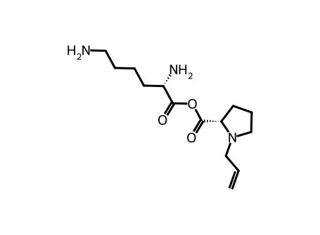 C=CCN1CCC[C@H]1C(=O)OC(=O)[C@@H](N)CCCCN